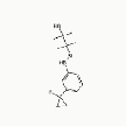 CC(C)(O)C(C)(C)OBc1cccc(C2(F)CC2)c1